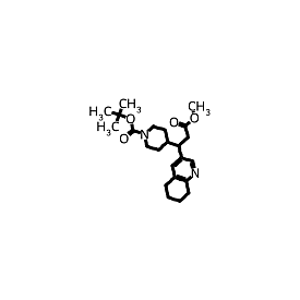 COC(=O)CC(c1cnc2c(c1)CCCC2)C1CCN(C(=O)OC(C)(C)C)CC1